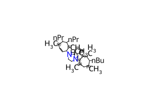 CCCCC1C(C)[C@@H](C)[C@@H](N2CCN(C3C=C[C@H](C)C(CCC)C(CCC)[C@@H]3C)C2C)[C@H](C)C[C@H]1C